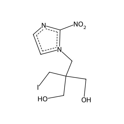 O=[N+]([O-])c1nccn1CC(CO)(CO)CI